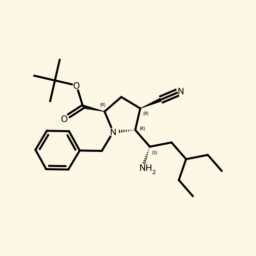 CCC(CC)C[C@H](N)[C@H]1[C@H](C#N)C[C@H](C(=O)OC(C)(C)C)N1Cc1ccccc1